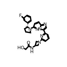 O=C(CO)NC1CN(c2cccc(-c3cnc4ccc(N5CCC[C@@H]5c5cccc(F)c5)nn34)n2)C1